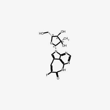 C[C@@]1(O)[C@H](O)[C@@H](CO)O[C@H]1n1cc2c3c(ncnc31)NC(=O)C(F)=C2